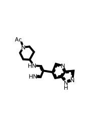 CC(=O)N1CCC(N/C=C(\C=N)c2cnc3cn[nH]c3c2)CC1